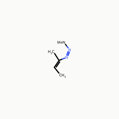 C/C=C(C)\N=N/NC